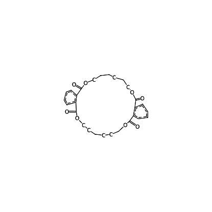 O=C1OCCCCCCOC(=O)c2ccccc2C(=O)OCCCCCCOC(=O)c2ccccc21